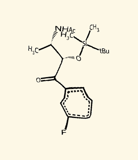 CC(=O)N[C@@H](C)[C@H](O[Si](C)(C)C(C)(C)C)C(=O)c1cccc(F)c1